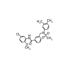 COc1ccc(Cl)cc1NC(=O)c1cccc(CN(c2ccc(C)c(C)c2)S(C)(=O)=O)c1